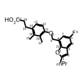 CCCc1cc2cc(F)cc(COc3ccc(CCC(=O)O)c(C)c3C)c2o1